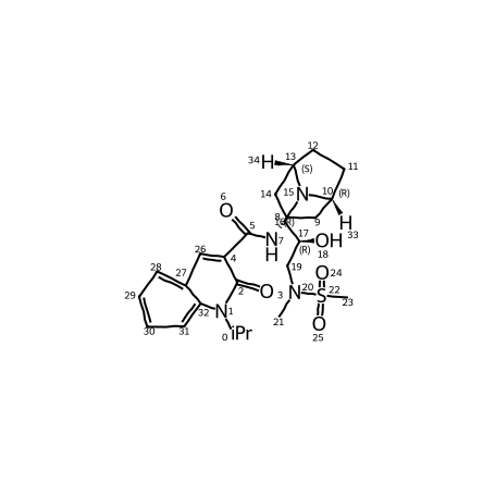 CC(C)n1c(=O)c(C(=O)N[C@H]2C[C@H]3CC[C@@H](C2)N3C[C@@H](O)CN(C)S(C)(=O)=O)cc2ccccc21